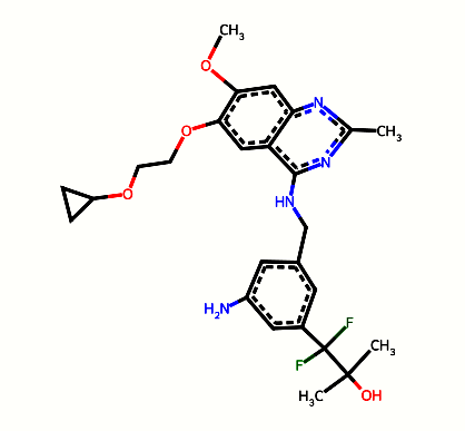 COc1cc2nc(C)nc(NCc3cc(N)cc(C(F)(F)C(C)(C)O)c3)c2cc1OCCOC1CC1